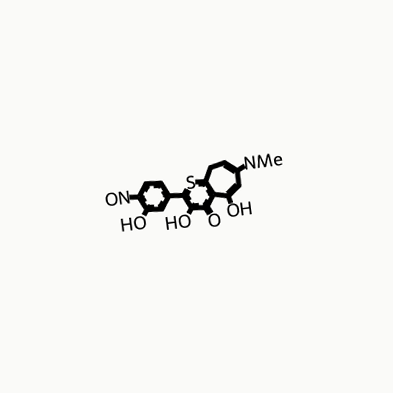 CNC1=CCc2sc(-c3ccc(N=O)c(O)c3)c(O)c(=O)c2C(O)=C1